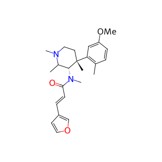 COc1ccc(C)c([C@@]2(C)CCN(C)C(C)[C@H]2N(C)C(=O)/C=C/c2ccoc2)c1